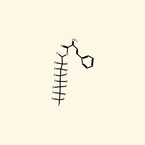 C=C(C=Cc1ccccc1)C(=O)OC(F)C(F)(F)C(F)(F)C(F)(F)C(F)(F)C(F)(F)C(F)(F)C(F)(F)F